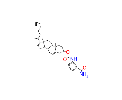 CC(C)CCCC(C)C1=CCC2C3CC=C4CC(OC(=O)Nc5cccc(C(N)=O)c5)CCC4(C)C3CCC12C